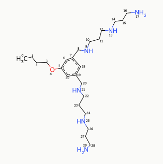 CCCCOc1cc(CNCCCNCCCN)cc(CNCCCNCCCN)c1